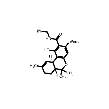 CCCCCc1cc2c(c(O)c1C(=O)NCC(C)C)[C@@H]1C=C(C)CC[C@H]1C(C)(C)O2